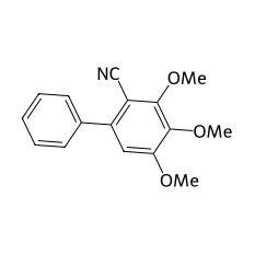 COc1cc(-c2ccccc2)c(C#N)c(OC)c1OC